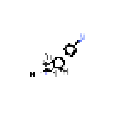 [2H]C1([2H])C[C@H](c2ccc(C#N)cc2)CC([2H])([2H])[C@H]1/C=C/C